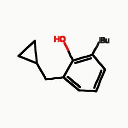 CCC(C)c1cccc(CC2CC2)c1O